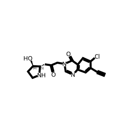 C#Cc1cc2ncn(CC(=O)C[C@@H]3NCC[C@H]3O)c(=O)c2cc1Cl